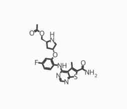 CC(=O)OC[C@@H]1C[C@H](Oc2cc(F)ccc2Nc2ncnc3sc(C(N)=O)c(C)c23)CN1